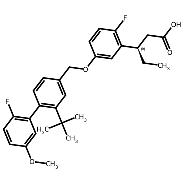 CC[C@H](CC(=O)O)c1cc(OCc2ccc(-c3cc(OC)ccc3F)c(C(C)(C)C)c2)ccc1F